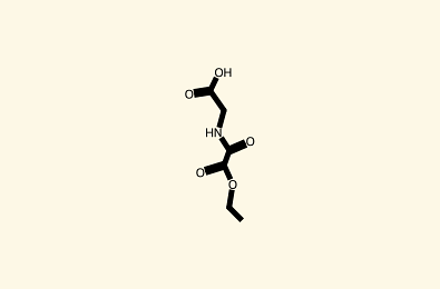 CCOC(=O)C(=O)NCC(=O)O